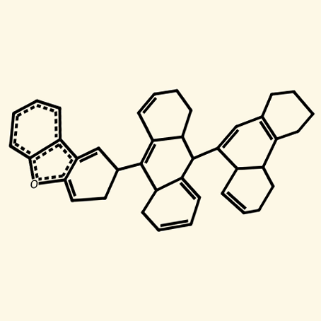 C1=CCC2C(=C1)C(C1=CC3=C(CCCC3)C3CCC=CC13)C1CCC=CC1=C2C1C=c2c(oc3ccccc23)=CC1